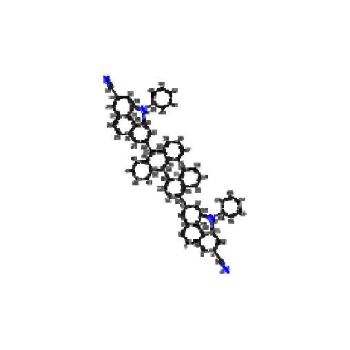 N#Cc1cc2ccc3cc(-c4ccc(-c5c6ccccc6c(-c6cc7ccc8cc(C#N)cc9c8c7c(c6)n9-c6ccccc6)c6ccccc56)c5ccccc45)cc4c3c2c(c1)n4-c1ccccc1